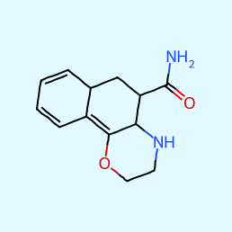 NC(=O)C1CC2C=CC=CC2=C2OCCNC21